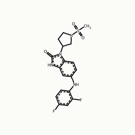 CS(=O)(=O)N1CCC(n2c(=O)[nH]c3cc(Nc4ccc(F)cc4F)ccc32)C1